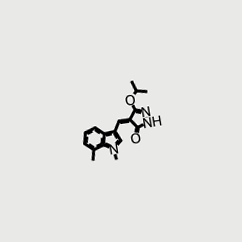 Cc1cccc2c(/C=C3\C(=O)NN=C3OC(C)C)cn(C)c12